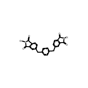 CCN1C(=O)c2ccc(Cc3ccc(Cc4ccc5c(c4)C(=O)N(CC)C5=O)cc3)cc2C1=O